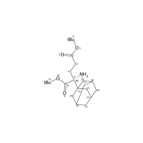 CC(C)(C)OC(=O)CC[C@](N)(C(=O)OC(C)(C)C)C12CC3CC(CC(C3)C1)C2